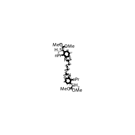 CCCc1c([SiH2]C(OC)OC)ccc2sc(SSSSc3nc4c(CCC)c([SiH2]C(OC)OC)ccc4s3)nc12